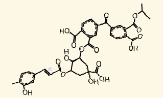 Cc1ccc(/C=C/C(=O)OC2CC(O)(C(=O)O)CC(OC(=O)c3cc(C(=O)c4ccc(C(=O)O)c(C(=O)OC(C)C)c4)ccc3C(=O)O)C2O)cc1O